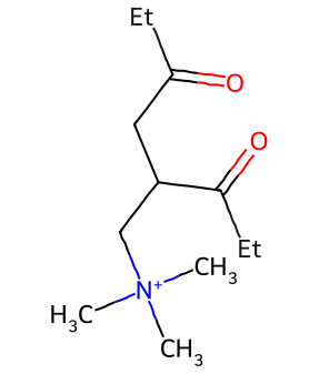 CCC(=O)CC(C[N+](C)(C)C)C(=O)CC